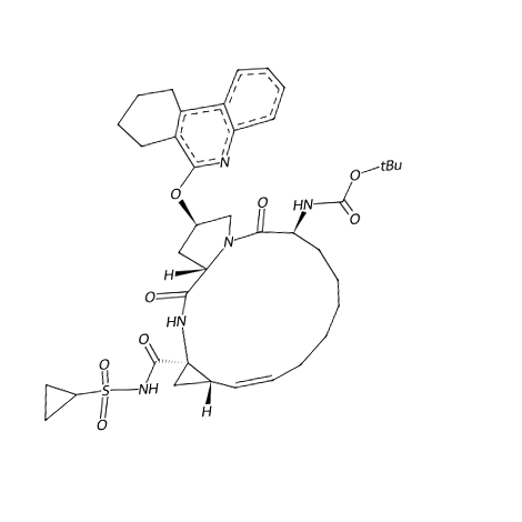 CC(C)(C)OC(=O)N[C@H]1CCCCC/C=C\[C@@H]2C[C@@]2(C(=O)NS(=O)(=O)C2CC2)NC(=O)[C@@H]2C[C@@H](Oc3nc4ccccc4c4c3CCCC4)CN2C1=O